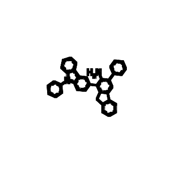 Nc1c(-c2ccccc2)cc2c(c1-c1ccc3c(c1)c1ccccc1n3-c1ccccc1)Cc1ccccc1-2